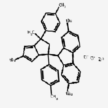 Cc1ccc(C2(C)CC(c3ccc(C)cc3)(C3c4cc(C(C)(C)C)ccc4-c4ccc(C(C)(C)C)cc43)C3C=C(C(C)(C)C)C=C32)cc1.[Cl-].[Cl-].[Zr+2]